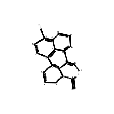 C=C(I)C1CC=Cc2c1/c(=C\C)c1cccc3c(I)ccc2c31